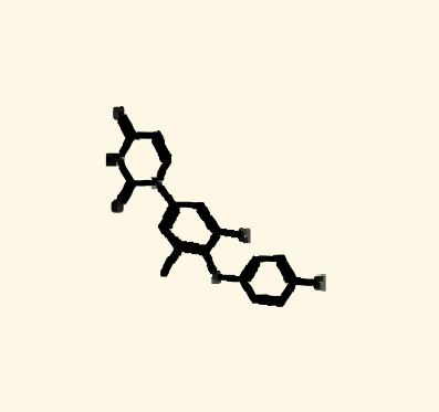 Cc1cc(-n2ccc(=O)[nH]c2=O)cc(Cl)c1Sc1ccc(Cl)cc1